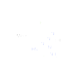 COc1ccc(NC2=C(F)C(N)NC(n3c(C)nc4cc(F)ccc43)=N2)cc1